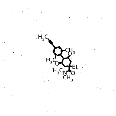 CC#Cc1cc(C)c(C2C(=O)CC(CC)(C(=O)N(C)C)CC2=O)c(C)c1